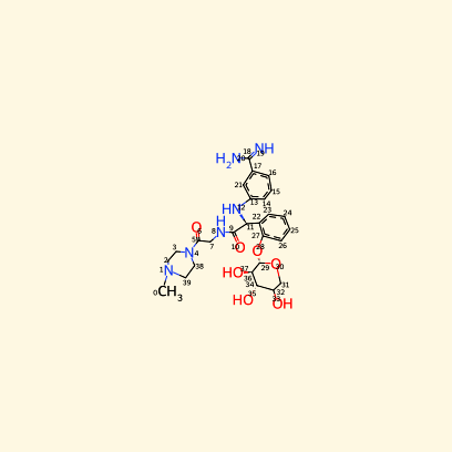 CN1CCN(C(=O)CNC(=O)[C@@H](Nc2cccc(C(=N)N)c2)c2ccccc2O[C@@H]2OCC(O)[C@H](O)[C@H]2O)CC1